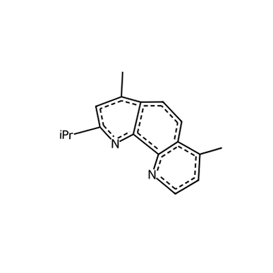 Cc1ccnc2c1ccc1c(C)cc(C(C)C)nc12